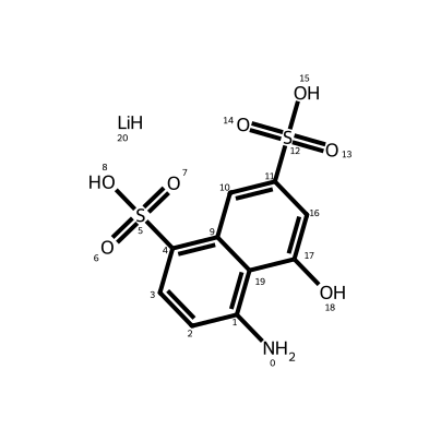 Nc1ccc(S(=O)(=O)O)c2cc(S(=O)(=O)O)cc(O)c12.[LiH]